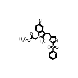 COC(=O)Cn1c(C)c(Cc2cnc(S(=O)(=O)c3ccccc3)s2)c2cc(Cl)ccc21